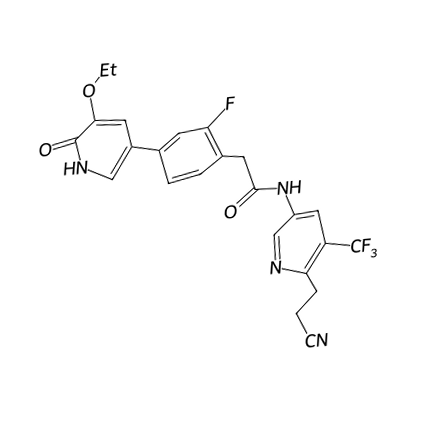 CCOc1cc(-c2ccc(CC(=O)Nc3cnc(CCC#N)c(C(F)(F)F)c3)c(F)c2)c[nH]c1=O